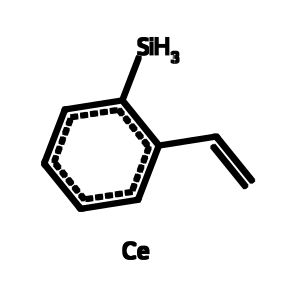 C=Cc1ccccc1[SiH3].[Ce]